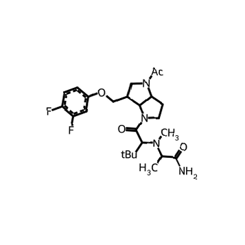 CC(=O)N1CC(COc2ccc(F)c(F)c2)C2C1CCN2C(=O)C(N(C)C(C)C(N)=O)C(C)(C)C